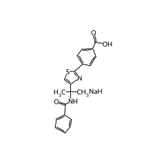 CC(C)(NC(=O)c1ccccc1)c1csc(-c2ccc(C(=O)O)cc2)n1.[NaH]